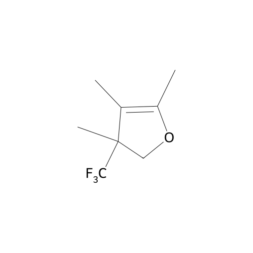 CC1=C(C)C(C)(C(F)(F)F)CO1